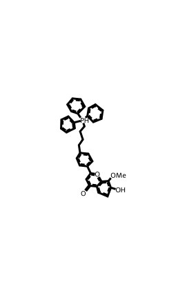 COc1c(O)ccc2c(=O)cc(-c3ccc(CCCC[PH](c4ccccc4)(c4ccccc4)c4ccccc4)cc3)oc12